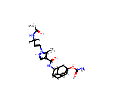 COC(=O)NC(C)(C)/C=C/n1ncc(C(=O)NC2C3CC4CC2CC(OC(N)=O)(C4)C3)c1C(F)(F)F